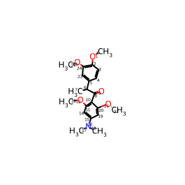 COc1ccc(C(C)C(=O)c2c(OC)cc(N(C)C)cc2OC)cc1OC